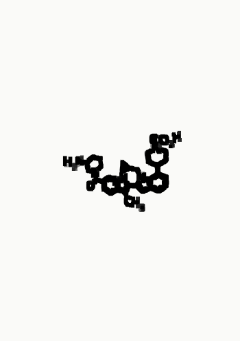 Cc1c(-c2cc3cccc(C4CCN(C(=O)O)CC4)c3n2CC2CC2)nn2cc(C(=O)N3CCCC(N)C3)ccc12